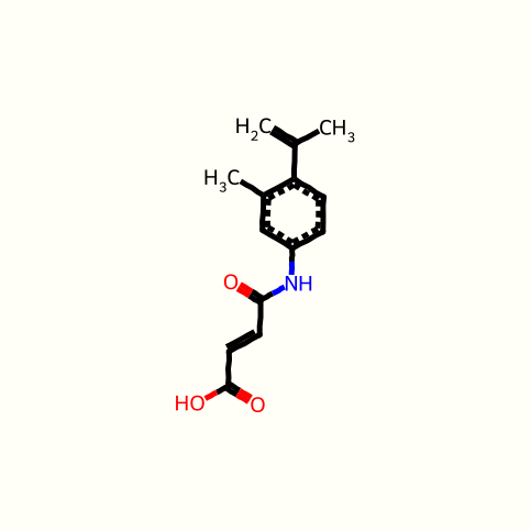 C=C(C)c1ccc(NC(=O)C=CC(=O)O)cc1C